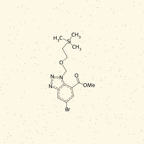 COC(=O)c1cc(Br)cc2nnn(COCC[Si](C)(C)C)c12